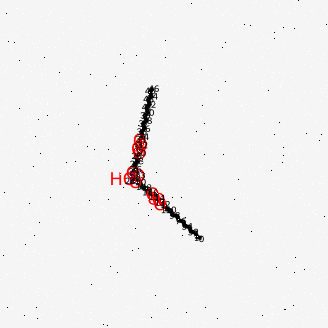 CCCCCCCCCCCCCOOOOCCCCOP(=O)(O)OCCCCOOOOCCCCCCCCCCCCC